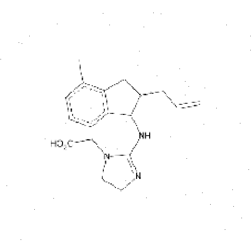 C=CCC1Cc2c(C)cccc2C1NC1=NCCN1CC(=O)O